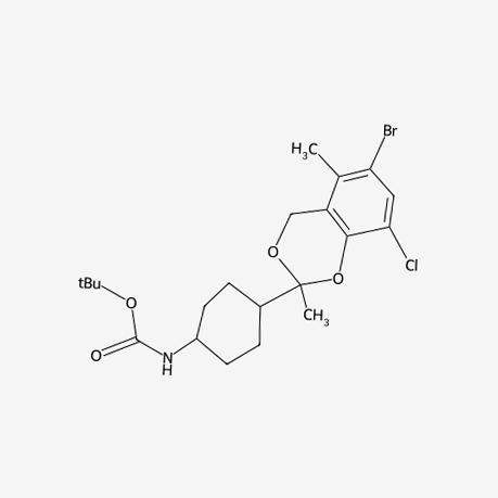 Cc1c(Br)cc(Cl)c2c1COC(C)(C1CCC(NC(=O)OC(C)(C)C)CC1)O2